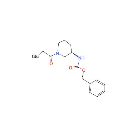 CC(C)(C)CC(=O)N1CCC[C@@H](NC(=O)OCc2ccccc2)C1